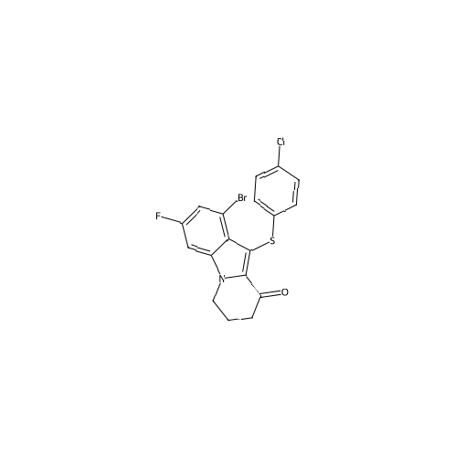 O=C1CCCn2c1c(Sc1ccc(Cl)cc1)c1c(Br)cc(F)cc12